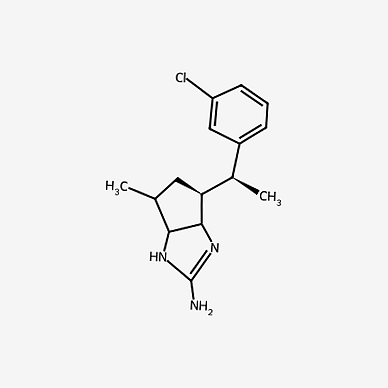 CC1C[C@@H]([C@H](C)c2cccc(Cl)c2)C2N=C(N)NC12